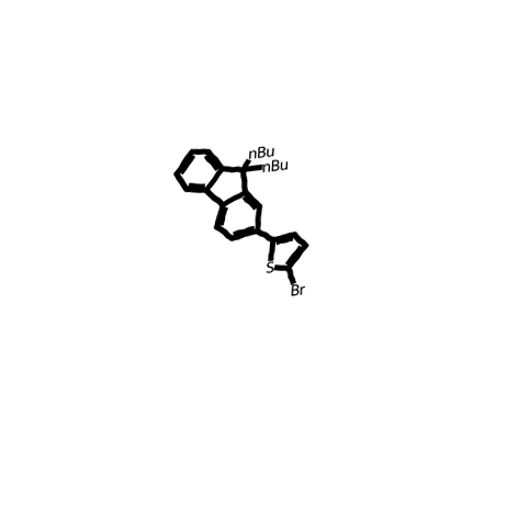 CCCCC1(CCCC)c2ccccc2-c2ccc(-c3ccc(Br)s3)cc21